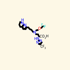 O=C(O)C(CCN(CCCCc1ccc2c(n1)NCCC2)CCOCC(F)F)Nc1ncc(C(F)(F)F)cn1